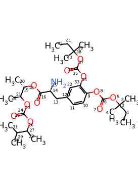 CCC(C)(C)OC(=O)Oc1ccc(C[C@H](N)C(=O)O[C@@H](C)[C@H](C)OC(=O)OC(C)C(C)C)cc1OC(=O)OC(C)(C)CC